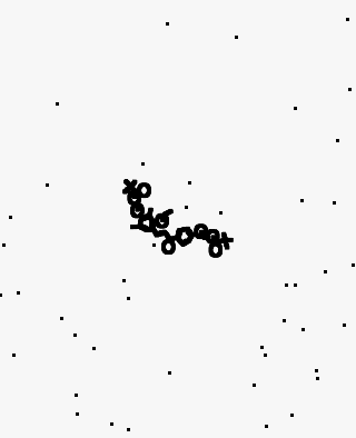 CCOc1c(/C=C/C(=O)c2ccc(OCOC(=O)C(C)(C)C)cc2)cc(C)c(OCOC(=O)C(C)(C)C)c1C